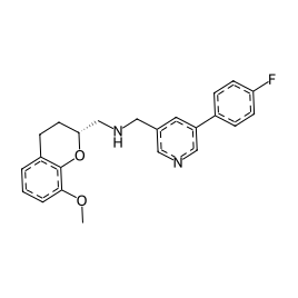 COc1cccc2c1O[C@@H](CNCc1cncc(-c3ccc(F)cc3)c1)CC2